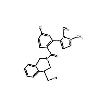 Cc1ccc(-c2cc(Cl)ccc2C(=O)N2Cc3ccccc3C(CO)C2)n1C